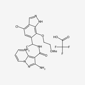 COCCOc1c(C(C)NC(=O)c2c(N)nn3cccnc23)cc(Cl)c2cn[nH]c12.O=C(O)C(F)(F)F